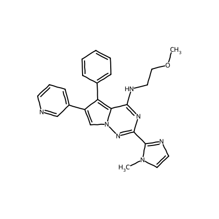 COCCNc1nc(-c2nccn2C)nn2cc(-c3cccnc3)c(-c3ccccc3)c12